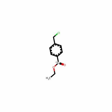 CCO[13C](=O)c1ccc(CCl)cc1